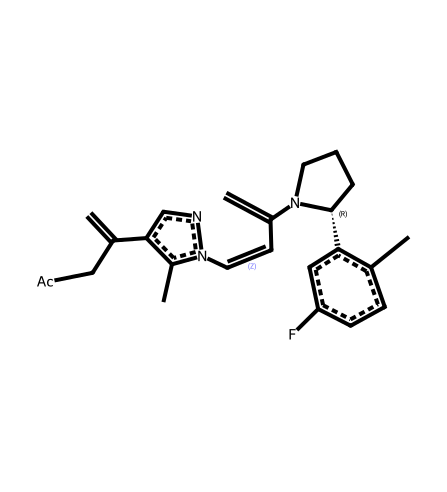 C=C(CC(C)=O)c1cnn(/C=C\C(=C)N2CCC[C@@H]2c2cc(F)ccc2C)c1C